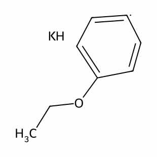 CCOc1cc[c]cc1.[KH]